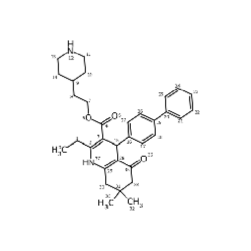 CCC1=C(C(=O)OCCC2CCNCC2)C(c2ccc(-c3ccccc3)cc2)C2=C(CC(C)(C)CC2=O)N1